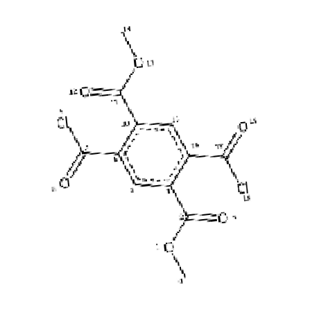 COC(=O)c1cc(C(=O)Cl)c(C(=O)OC)cc1C(=O)Cl